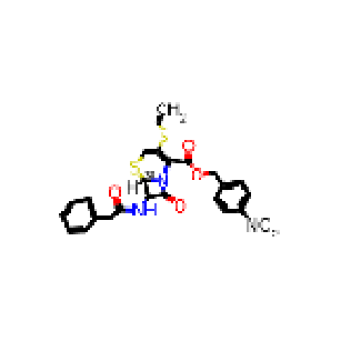 C=CSC1=C(C(=O)OCc2ccc([N+](=O)[O-])cc2)N2C(=O)C(NC(=O)Cc3ccccc3)[C@@H]2SC1